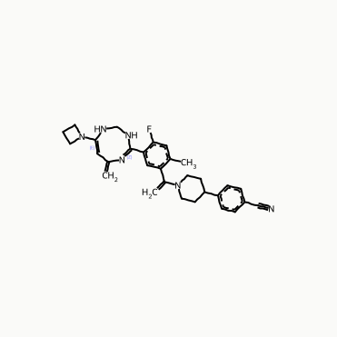 C=C1/C=C(/N2CCC2)NCN/C(c2cc(C(=C)N3CCC(c4ccc(C#N)cc4)CC3)c(C)cc2F)=N\1